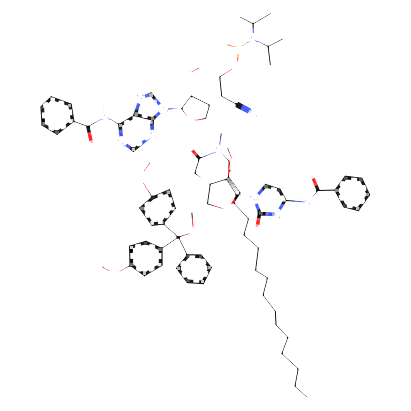 CCCCCCCCCCCCCCCCCN(C[C@@H]1O[C@@H](n2cnc3c(NC(=O)c4ccccc4)ncnc32)[C@H](OC)[C@@H]1C(C#N)COP(O)N(C(C)C)C(C)C)C(=O)C[C@H]1[C@@H](OC)[C@H](n2ccc(NC(=O)c3ccccc3)nc2=O)O[C@@H]1COC(c1ccccc1)(c1ccc(OC)cc1)c1ccc(OC)cc1